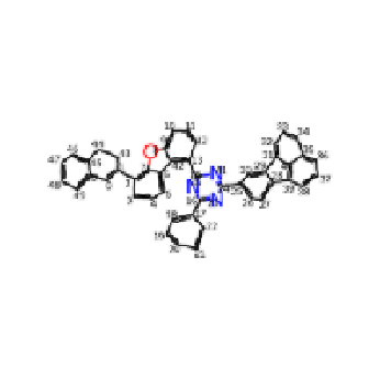 C1=C(c2cccc3c2oc2cccc(-c4nc(-c5ccccc5)nc(-c5ccc6c(c5)-c5cccc7cccc-6c57)n4)c23)CCc2ccccc21